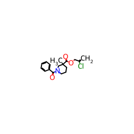 C=C(Cl)COC(=O)C1(C)CCCN(C(=O)c2ccccc2)C1